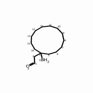 BC1(CC=O)CCCCCCCCCCCC1